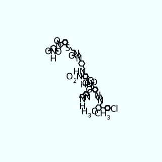 CC1(C)CCC(CN2CCN(c3ccc(C(=O)NS(=O)(=O)c4ccc(NCC5CCC(N6CCN(CCCSc7cccc8c7CN(C7CCC(=O)NC7=O)C8=O)C(=O)C6)CC5)c([N+](=O)[O-])c4)c(Oc4cnc5[nH]ccc5c4)c3)CC2)=C(c2ccc(Cl)cc2)C1